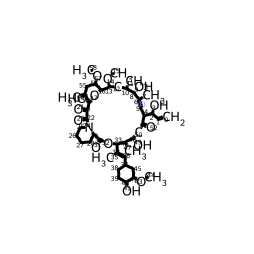 C=CC(O)C1/C=C(\C)C(O)C(C)CC(OC)C2OC(O)(C(=O)C(=O)N3CCCCC3C(=O)OC(C(C)=CC3CCC(O)C(OC)C3)C(C)C(O)CC1=O)C(C)CC2OC